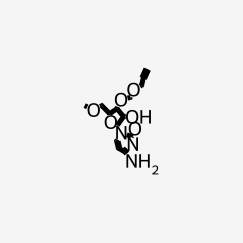 C#CCOCOC1C(COC)OC(n2ccc(N)nc2=O)C1O